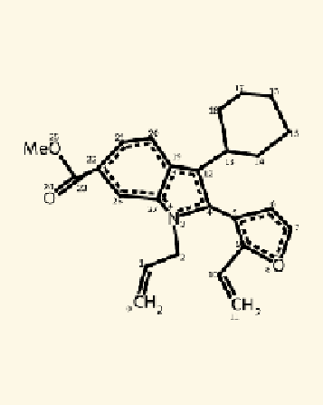 C=CCn1c(-c2ccoc2C=C)c(C2CCCCC2)c2ccc(C(=O)OC)cc21